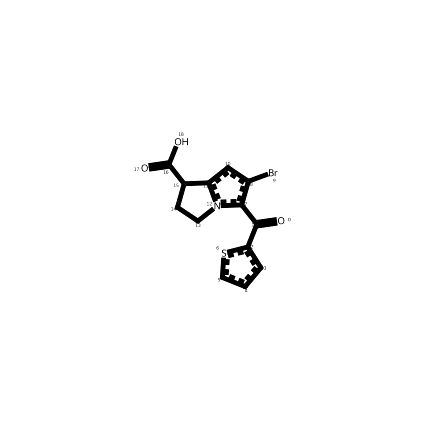 O=C(c1cccs1)c1c(Br)cc2n1CCC2C(=O)O